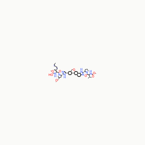 C=C(/C=C\C=C/C)[C@@H](NC(O)OC)C(=O)N1C[C@@H](COC)C[C@H]1c1ncc(-c2ccc3c(c2)COc2cc4c(ccc5nc([C@@H]6CCCN6C(=O)[C@@H](NC(=O)OC)C(C)C)[nH]c54)cc2-3)[nH]1